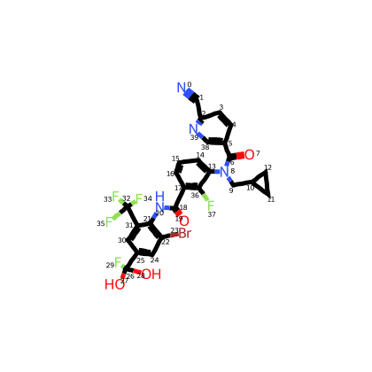 N#Cc1ccc(C(=O)N(CC2CC2)c2cccc(C(=O)Nc3c(Br)cc(C(O)(O)F)cc3C(F)(F)F)c2F)cn1